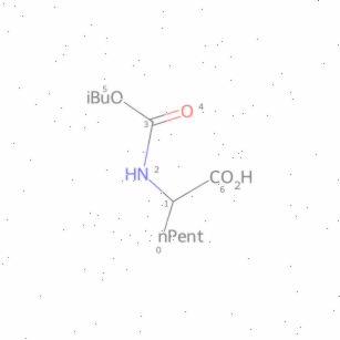 CCCCCC(NC(=O)OCC(C)C)C(=O)O